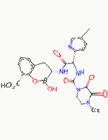 CCN1CCN(C(=O)NC(C(=O)N[C@H]2Cc3cccc(C(=O)O)c3OB2O)c2ccc(C)cn2)C(=O)C1=O